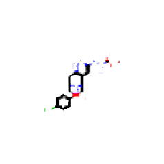 COC(=O)NNc1cc2c(nn1)CC1CCCC2N1C(=O)c1ccc(Cl)cc1